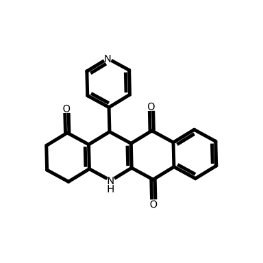 O=C1CCCC2=C1C(c1ccncc1)C1=C(N2)C(=O)c2ccccc2C1=O